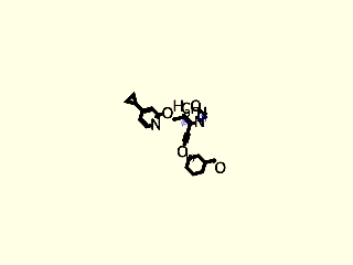 C/N=N\C(C#CO[C@H]1CCCC(C=O)C1)=C(/C)COc1cc(C2CC2)ccn1